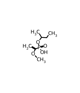 C=C(OC)P(=O)(O)OC(C)CC